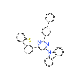 c1ccc(-c2ccc(-c3nc(-c4cccc5c4sc4ccccc45)cc(-n4c5ccccc5c5ccccc54)n3)cc2)cc1